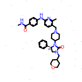 CNC(=O)c1ccc(Nc2ccc(CN3CCC(N4C(=O)N(CC5CCOCC5)C[C@H]4c4ccccc4)CC3)c(C)n2)cc1